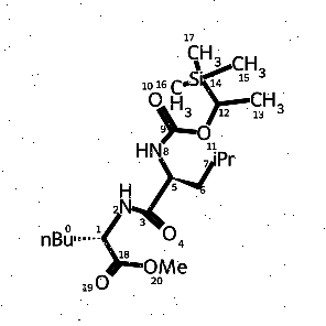 CCCC[C@H](NC(=O)[C@H](CC(C)C)NC(=O)OC(C)[Si](C)(C)C)C(=O)OC